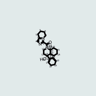 O=C(c1ncc2n1CCCC2)N1CC[C@](O)(C2=CCCC=C2)[C@H]2CCCC[C@H]21